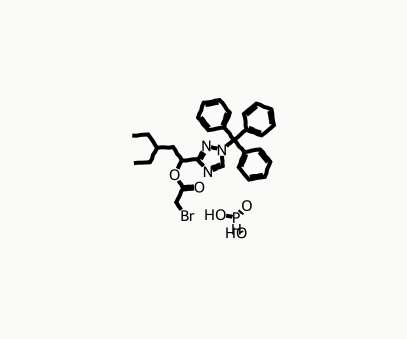 CCC(CC)CC(OC(=O)CBr)c1ncn(C(c2ccccc2)(c2ccccc2)c2ccccc2)n1.O=[PH](O)O